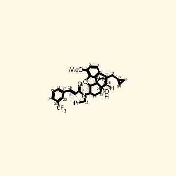 COc1ccc2c3c1OC1C(N(CC(C)C)C(=O)/C=C/c4cccc(C(F)(F)F)c4)CC[C@@]4(O)[C@@H](C2)N(CC2CC2)CC[C@]314